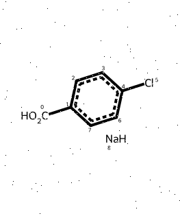 O=C(O)c1ccc(Cl)cc1.[NaH]